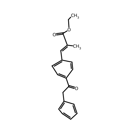 CCOC(=O)/C(C)=C/c1ccc(C(=O)Cc2ccccc2)cc1